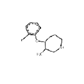 CC1CNCCCC1Oc1ccccc1F